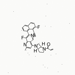 C#Cc1c(F)ccc2cccc(-c3ncc4c(N5C[C@@H]6[C@H]5CCN6C(=O)C=C)cc(C)nc4c3F)c12